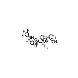 CCC1C[C@@H](S(=O)(=O)c2cc(C(=O)Nc3cc(F)c(F)c(F)c3)ccc2Cl)C[C@H](C)[C@@]1(O)CC(=O)N[C@@H](C)COC